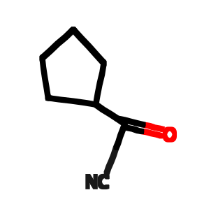 N#CC(=O)C1CCCC1